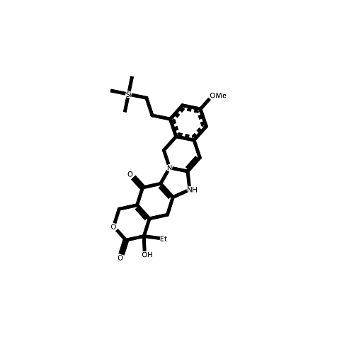 CCC1(O)C(=O)OCC2=C1CC1=C(C2=O)N2Cc3c(cc(OC)cc3CC[Si](C)(C)C)C=C2N1